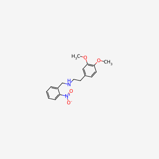 COc1ccc(CCNCc2ccccc2[N+](=O)[O-])cc1OC